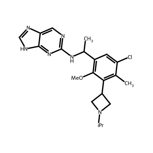 COc1c(C(C)Nc2ncc3nc[nH]c3n2)cc(Cl)c(C)c1C1CN(C(C)C)C1